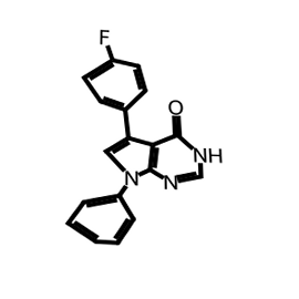 O=c1[nH]cnc2c1c(-c1ccc(F)cc1)cn2-c1ccccc1